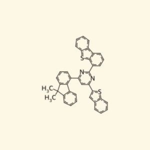 CC1(C)c2ccccc2-c2c(-c3cc(-c4cc5ccccc5s4)nc(-c4cccc5c4sc4ccccc45)n3)cccc21